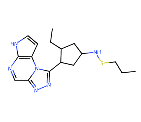 CCCSNC1CC(CC)C(c2nnc3cnc4[nH]ccc4n23)C1